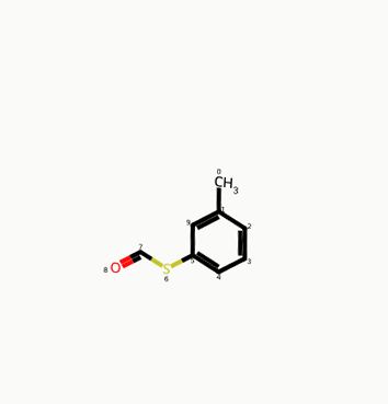 Cc1cccc(SC=O)c1